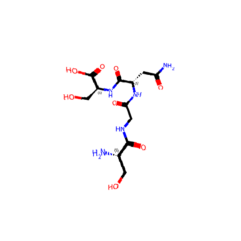 NC(=O)C[C@H](NC(=O)CNC(=O)[C@@H](N)CO)C(=O)N[C@@H](CO)C(=O)O